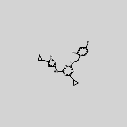 Fc1ccc(CNc2nc(Nc3cc(C4CC4)[nH]n3)nc(C3CC3)n2)c(F)c1